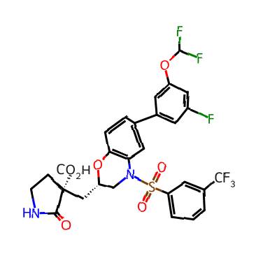 O=C(O)[C@@]1(C[C@H]2CN(S(=O)(=O)c3cccc(C(F)(F)F)c3)c3cc(-c4cc(F)cc(OC(F)F)c4)ccc3O2)CCNC1=O